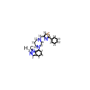 Cn1ncc2cccc(N3CCCN(Cc4csc(-c5ccccc5)n4)CC3)c21